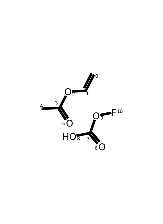 C=COC(C)=O.O=C(O)OF